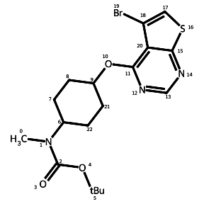 CN(C(=O)OC(C)(C)C)C1CCC(Oc2ncnc3scc(Br)c23)CC1